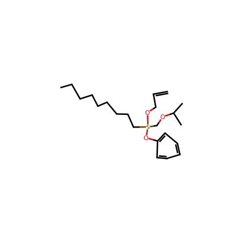 C=CCOS(CCCCCCCCC)(COC(C)C)Oc1ccccc1